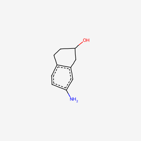 Nc1ccc2c(c1)CC(O)CC2